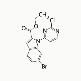 CCOC(=O)c1cc2ccc(Br)cc2n1-c1ccnc(Cl)n1